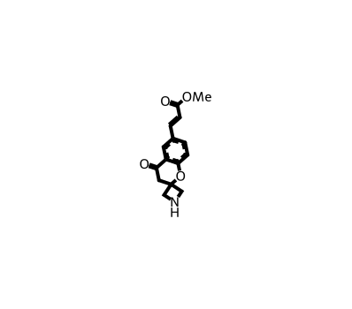 COC(=O)C=Cc1ccc2c(c1)C(=O)CC1(CNC1)O2